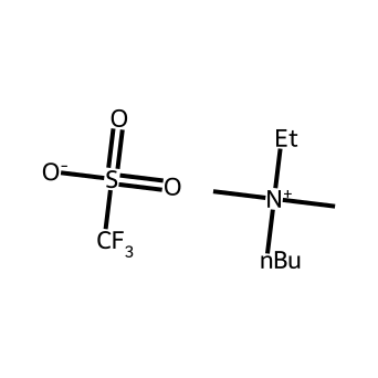 CCCC[N+](C)(C)CC.O=S(=O)([O-])C(F)(F)F